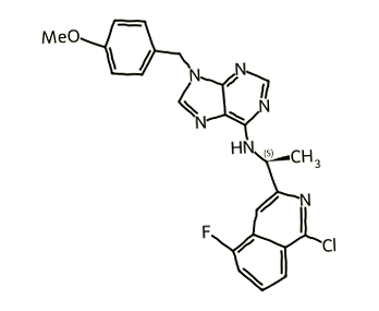 COc1ccc(Cn2cnc3c(N[C@@H](C)c4cc5c(F)cccc5c(Cl)n4)ncnc32)cc1